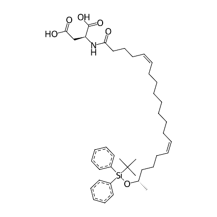 C[C@@H](CCC/C=C\CCCCCCC/C=C\CCCC(=O)N[C@@H](CC(=O)O)C(=O)O)O[Si](c1ccccc1)(c1ccccc1)C(C)(C)C